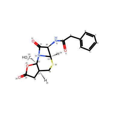 O=C(Cc1ccccc1)N[C@@H]1C(=O)N2[C@@H]1SC[C@H]1CC(=O)O[C@]12C(=O)O